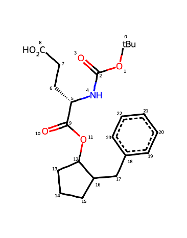 CC(C)(C)OC(=O)N[C@@H](CCC(=O)O)C(=O)OC1CCCC1Cc1ccccc1